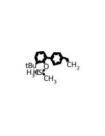 C=Cc1ccc(-c2cccc(C(C)(C)C)c2O[SiH](C)C)cc1